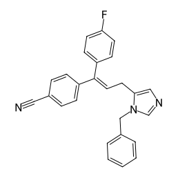 N#Cc1ccc(C(=CCc2cncn2Cc2ccccc2)c2ccc(F)cc2)cc1